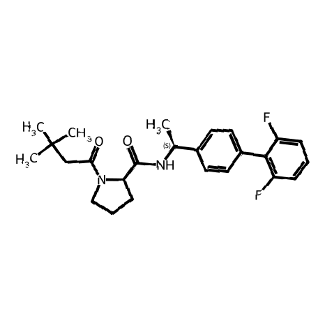 C[C@H](NC(=O)C1CCCN1C(=O)CC(C)(C)C)c1ccc(-c2c(F)cccc2F)cc1